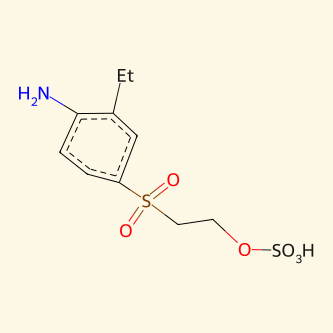 CCc1cc(S(=O)(=O)CCOS(=O)(=O)O)ccc1N